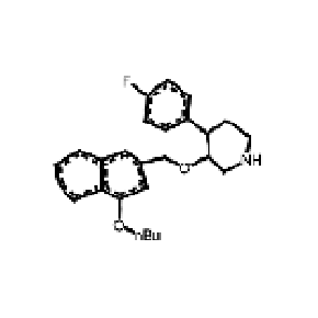 CCCCOc1cc(COC2CNCCC2c2ccc(F)cc2)cc2ccccc12